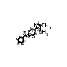 Cc1cnc(N2CCN(OC(=O)c3ccccc3)CC2)n1C